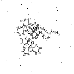 NCc1ncnc2c1ncn2[C@@H]1O[C@H](COC(c2ccccc2)(c2ccccc2)c2ccccc2)[C@@H](OC(c2ccccc2)(c2ccccc2)c2ccccc2)[C@H]1O